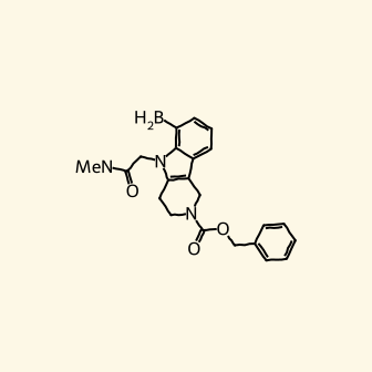 Bc1cccc2c3c(n(CC(=O)NC)c12)CCN(C(=O)OCc1ccccc1)C3